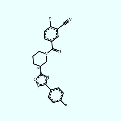 N#Cc1cc(C(=O)N2CCC[C@H](c3nc(-c4ccc(F)cc4)no3)C2)ccc1F